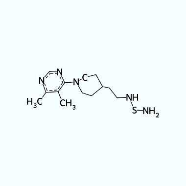 Cc1ncnc(N2CCC(CCNSN)CC2)c1C